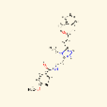 CCn1c(CCNC(=O)c2ccc(OC)cc2)nnc1CCC(=O)Cc1ccccc1C